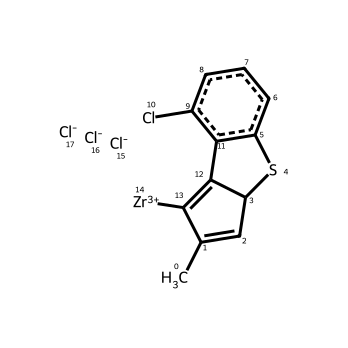 CC1=CC2Sc3cccc(Cl)c3C2=[C]1[Zr+3].[Cl-].[Cl-].[Cl-]